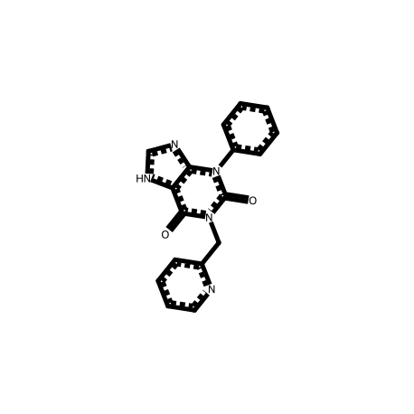 O=c1c2[nH]cnc2n(-c2ccccc2)c(=O)n1Cc1ccccn1